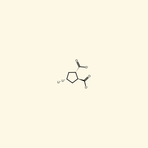 O=C([O-])[C@H]1CCC[C@@H]1C(=O)[O-].[Li+].[Li+]